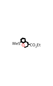 CCOC(=O)C1=Cc2cccc(SC)c2OCC1